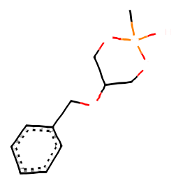 C[P]1(O)OCC(OCc2ccccc2)CO1